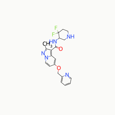 Cc1nn2ccc(OCc3ccccn3)cc2c1C(=O)NC1CNCCC1(F)F